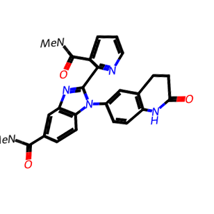 CNC(=O)c1ccc2c(c1)nc(-c1ncccc1C(=O)NC)n2-c1ccc2c(c1)CCC(=O)N2